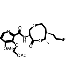 COc1ccnc(C(=O)N[C@H]2COCC[C@@H](CCC(C)C)[C@H](C)OC2=O)c1OCOC(C)=O